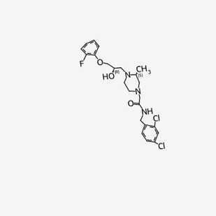 C[C@H]1CN(CC(=O)NCc2ccc(Cl)cc2Cl)CCN1C[C@@H](O)COc1ccccc1F